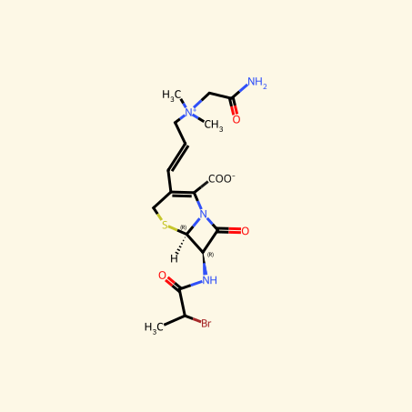 CC(Br)C(=O)N[C@@H]1C(=O)N2C(C(=O)[O-])=C(C=CC[N+](C)(C)CC(N)=O)CS[C@H]12